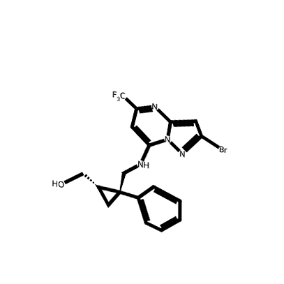 OC[C@H]1C[C@@]1(CNc1cc(C(F)(F)F)nc2cc(Br)nn12)c1ccccc1